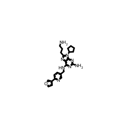 NCCCc1nc2c(NCc3ccc(-c4ccoc4)nc3)nc(N)nc2n1C1CCCC1